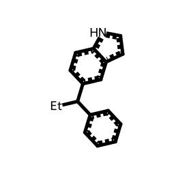 [CH2]CC(c1ccccc1)c1ccc2[nH]ccc2c1